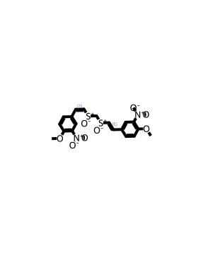 COc1ccc(/C=C\[S+]([O-])C[S+]([O-])/C=C/c2ccc(OC)c([N+](=O)[O-])c2)cc1[N+](=O)[O-]